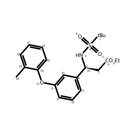 CCOC(=O)C[C@H](NS(=O)(=O)C(C)(C)C)c1cccc(Oc2ccccc2C)c1